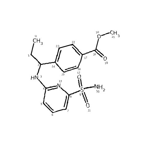 CCC(Nc1cccc(S(N)(=O)=O)n1)c1ccc(C(=O)OC)cc1